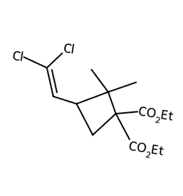 CCOC(=O)C1(C(=O)OCC)CC(C=C(Cl)Cl)C1(C)C